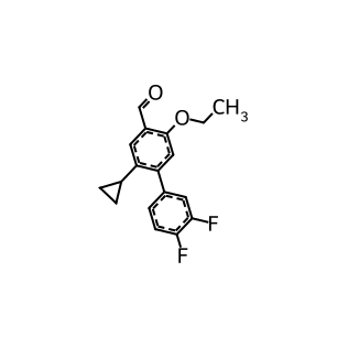 CCOc1cc(-c2ccc(F)c(F)c2)c(C2CC2)cc1C=O